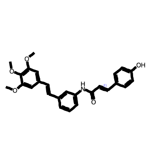 COc1cc(C=Cc2cccc(NC(=O)/C=C/c3ccc(O)cc3)c2)cc(OC)c1OC